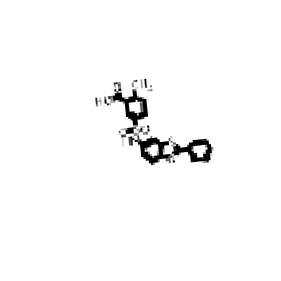 Cc1ccc(S(=O)(=O)Nc2ccc3nc(-c4ccccc4)sc3c2)cc1C(=O)O